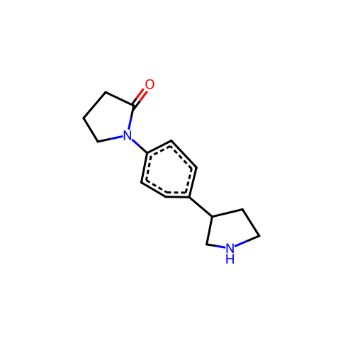 O=C1CCCN1c1ccc(C2CCNC2)cc1